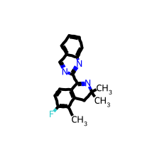 Cc1c(F)ccc2c1CC(C)(C)N=C2c1ncc2ccccc2n1